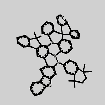 CC1(C)CCC(C)(C)c2cc(N3B4c5cccc6c5N(c5ccccc5C65c6ccccc6-c6ccccc65)c5c4c(cc4c5C(C)(C)c5ccccc5-4)-c4cc5c(cc43)sc3ccccc35)ccc21